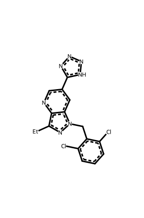 CCc1nn(Cc2c(Cl)cccc2Cl)c2cc(-c3nnn[nH]3)cnc12